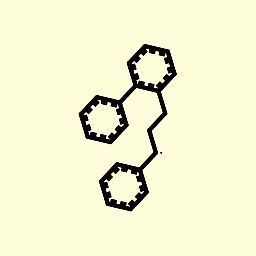 [CH](CCc1ccccc1-c1ccccc1)c1ccccc1